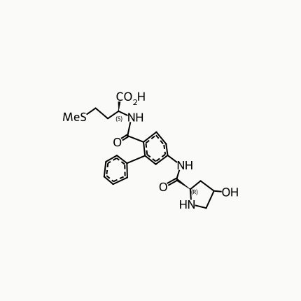 CSCC[C@H](NC(=O)c1ccc(NC(=O)[C@H]2CC(O)CN2)cc1-c1ccccc1)C(=O)O